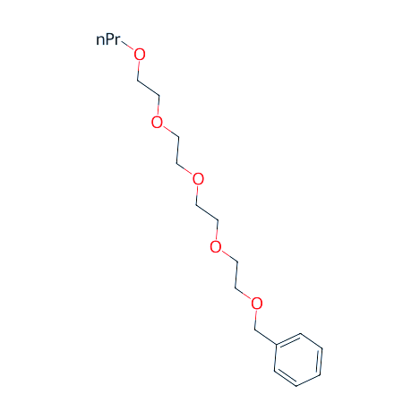 CCCOCCOCCOCCOCCOCc1ccccc1